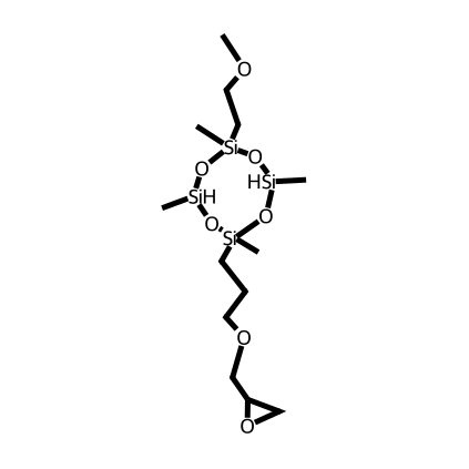 COCC[Si]1(C)O[SiH](C)O[Si](C)(CCCOCC2CO2)O[SiH](C)O1